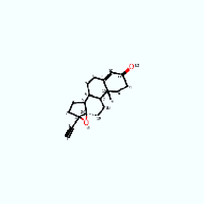 C#CC12CCC3C4CCC5=CC(=O)CCC5(C)C4CC[C@@]31O2